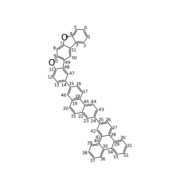 c1ccc2c(c1)oc1cc3oc4ccc(-c5ccc6c(ccc7cc(-c8ccc9c%10ccccc%10c%10ccccc%10c9c8)ccc76)c5)cc4c3cc12